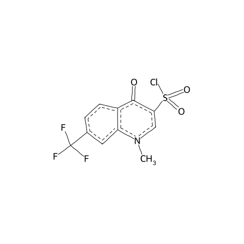 Cn1cc(S(=O)(=O)Cl)c(=O)c2ccc(C(F)(F)F)cc21